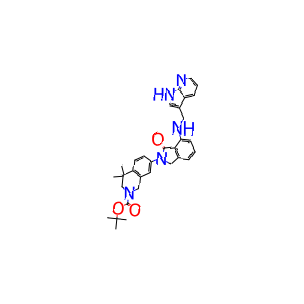 CC(C)(C)OC(=O)N1Cc2cc(N3Cc4cccc(NCc5c[nH]c6ncccc56)c4C3=O)ccc2C(C)(C)C1